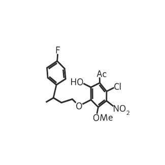 COc1c(OCCC(C)c2ccc(F)cc2)c(O)c(C(C)=O)c(Cl)c1[N+](=O)[O-]